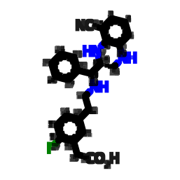 N#Cc1cccc2c1N[C@@H]([C@H](NCCc1ccc(F)c(CC(=O)O)c1)c1ccccc1)CN2